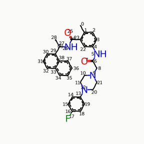 Cc1ccc(NC(=O)CN2CCN(c3ccc(F)cc3)CC2)cc1C(=O)N[C@H](C)c1cccc2ccccc12